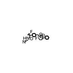 N#CCNC(=O)C1(c2cc(F)c(CN3CCC[C@H](c4ccccc4)S3(=O)=O)cc2F)CC1